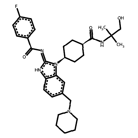 CC(C)(CO)NC(=O)[C@H]1CC[C@@H](n2/c(=N/C(=O)c3ccc(F)cc3)[nH]c3ccc(CN4CCCCC4)cc32)CC1